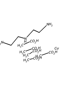 CC(=O)O.CC(=O)O.CC(=O)O.CC(=O)O.CC(=O)O.NCCNCCN.[Cu]